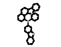 c1ccc(N(c2ccc3c(c2)sc2ccccc23)c2cccc3ccc4c5ccccc5oc4c23)cc1